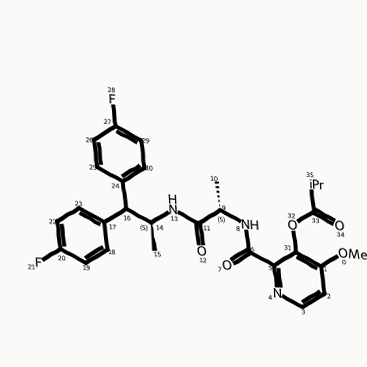 COc1ccnc(C(=O)N[C@@H](C)C(=O)N[C@@H](C)C(c2ccc(F)cc2)c2ccc(F)cc2)c1OC(=O)C(C)C